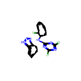 Clc1nc(Cl)nc(Nc2ccccc2Cl)n1.c1ccc2[nH]nnc2c1